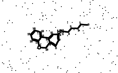 CCCCCNc1ccc2c(c1)-c1ccccc1OC2